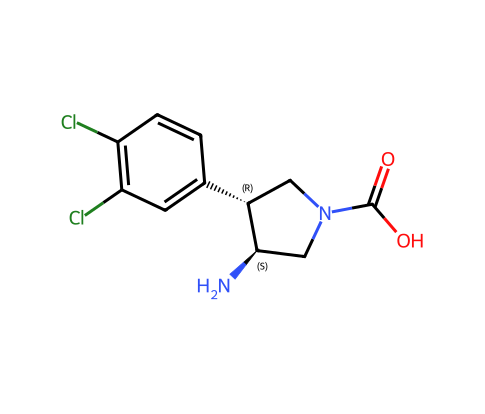 N[C@@H]1CN(C(=O)O)C[C@H]1c1ccc(Cl)c(Cl)c1